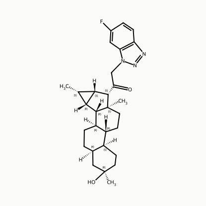 C[C@H]1[C@@H]2[C@H]1[C@H](C(=O)Cn1nnc3ccc(F)cc31)[C@@]1(C)CC[C@H]3[C@@H](CC[C@@H]4C[C@](C)(O)CC[C@@H]43)[C@H]21